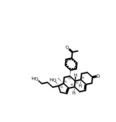 CC(=O)c1ccc([C@H]2C[C@@]3(C)C(=CC[C@@]3(O)CCCO)[C@@H]3CC=C4CC(=O)CC[C@@H]4[C@@H]23)cc1